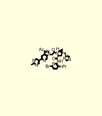 CCCc1ccc(Br)nc1NC(=O)[C@@H]1C[C@@]2(Cn3cncn3)C[C@H]2N1C(=O)Cn1nc(C(C)=O)c2cc(-c3cnc(C)nc3)ncc21